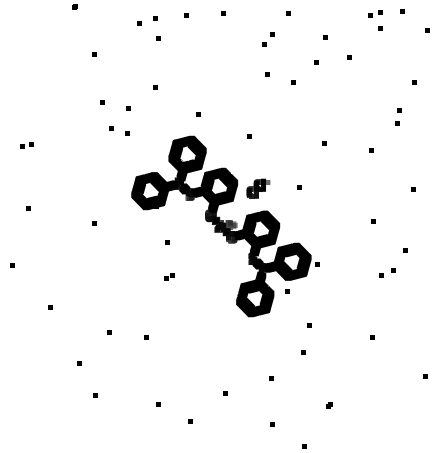 [Cl-].[Cl-].c1ccc(P(Sc2ccccc2[O][Zr+2][O]c2ccccc2SP(c2ccccc2)c2ccccc2)c2ccccc2)cc1